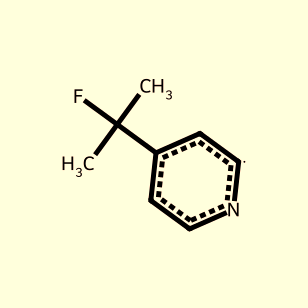 CC(C)(F)c1c[c]ncc1